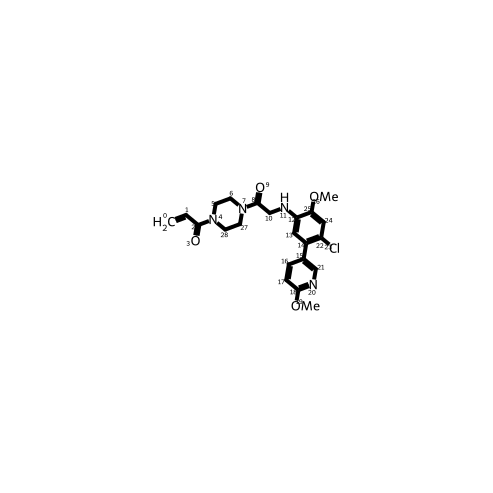 C=CC(=O)N1CCN(C(=O)CNc2cc(-c3ccc(OC)nc3)c(Cl)cc2OC)CC1